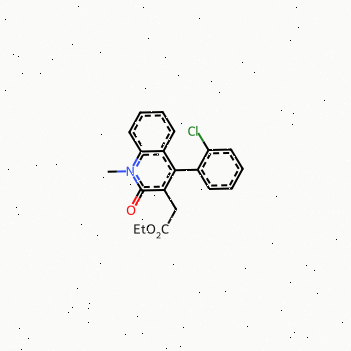 CCOC(=O)Cc1c(-c2ccccc2Cl)c2ccccc2n(C)c1=O